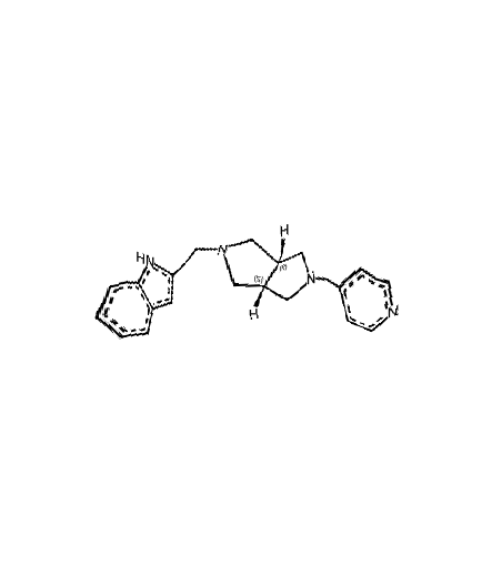 c1ccc2[nH]c(CN3C[C@@H]4CN(c5ccncc5)C[C@@H]4C3)cc2c1